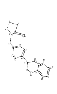 O=C1CCCN1Cc1ccc(C2COc3cccnc3O2)cc1